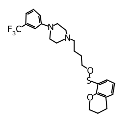 FC(F)(F)c1cccc(N2CCN(CCCCOSc3cccc4c3OCCC4)CC2)c1